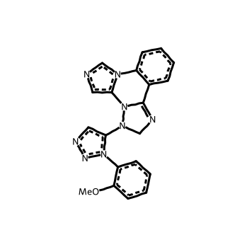 COc1ccccc1-n1nncc1N1CN=C2c3ccccc3-n3cncc3N21